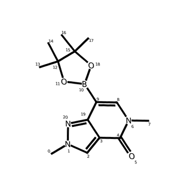 Cn1cc2c(=O)n(C)cc(B3OC(C)(C)C(C)(C)O3)c2n1